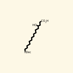 CCCCCCCCCCCCCCCCCCCCCCC(O)CCC(=O)O